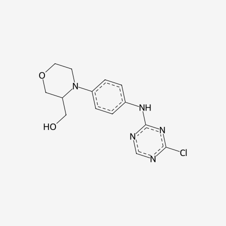 OCC1COCCN1c1ccc(Nc2ncnc(Cl)n2)cc1